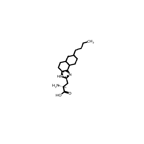 CCCCC1CCC2c3nc(C[C@@H](N)C(=O)O)[nH]c3CCC2C1